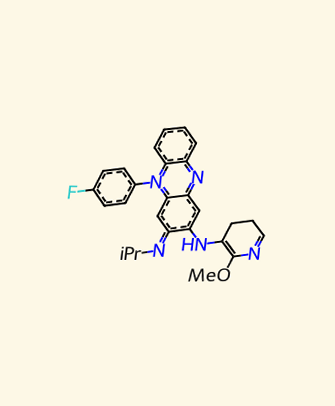 COC1=C(Nc2cc3nc4ccccc4n(-c4ccc(F)cc4)c-3c/c2=N\C(C)C)CCC=N1